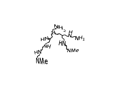 CNCCNCCNCCC(=N)CCN(CCN)CCC(CCNCCN)CCNCCNC